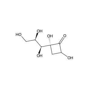 O=C1C(O)C[C@@]1(O)[C@@H](O)[C@H](O)CO